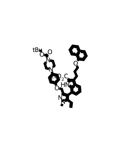 C=Cc1c(-c2cccc3c(CCCOc4cccc5ccccc45)c(C(=O)OCC)[nH]c23)c(COc2ccc(N3CCN(C(=O)OC(C)(C)C)CC3)cc2)nn1C